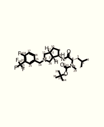 CC(C)C[C@@H](C(=O)N[C@@H]1CC[C@H]2CN(Cc3ccc(F)c(C(F)(F)F)c3)C[C@H]21)N(C)C(=O)OC(C)(C)C